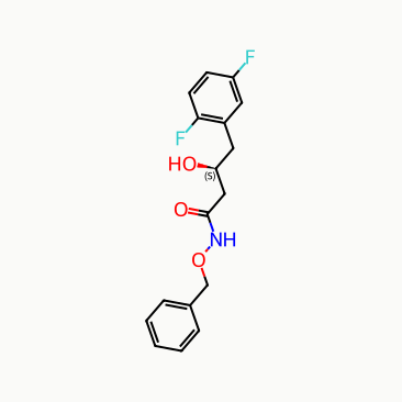 O=C(C[C@@H](O)Cc1cc(F)ccc1F)NOCc1ccccc1